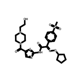 CS(=O)(=O)c1ccc(/C(=N\OC2CCCC2)C(=O)Nc2ncc(C(=O)N3CCN(CCO)CC3)s2)cc1